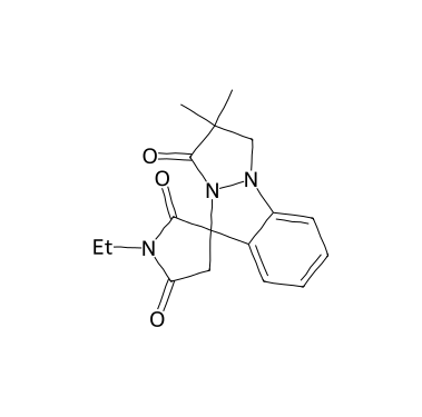 CCN1C(=O)CC2(C1=O)c1ccccc1N1CC(C)(C)C(=O)N12